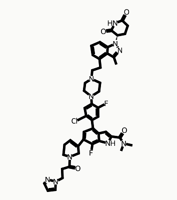 Cc1nn([C@H]2CCC(=O)NC2=O)c2cccc(CCN3CCN(c4cc(Cl)c(-c5cc(C6=CCCN(C(=O)CCn7cccn7)C6)c(F)c6[nH]c(C(=O)N(C)C)cc56)cc4F)CC3)c12